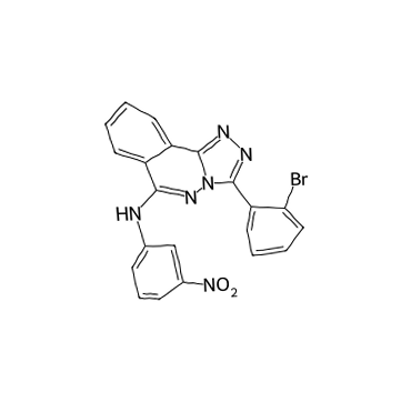 O=[N+]([O-])c1cccc(Nc2nn3c(-c4ccccc4Br)nnc3c3ccccc23)c1